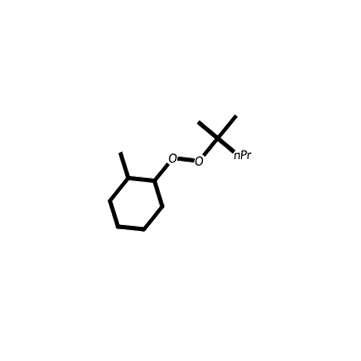 CCCC(C)(C)OOC1CCCCC1C